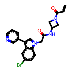 C=CC(=O)N1CC(NC(=O)Cn2cc(-c3cccnc3)c3cc(Br)ccc32)C1